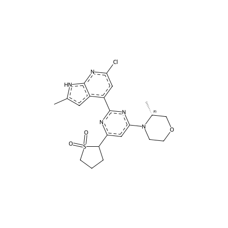 Cc1cc2c(-c3nc(C4CCCS4(=O)=O)cc(N4CCOC[C@H]4C)n3)cc(Cl)nc2[nH]1